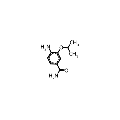 CC(C)Oc1cc(C(N)=O)ccc1N